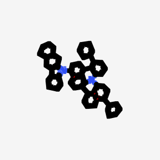 c1ccc(-c2ccc(N(c3ccccc3-c3ccccc3)c3cccc(-c4ccccc4)c3-c3ccc(-n4c5ccccc5c5cc6ccccc6cc54)cc3)cc2)cc1